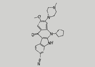 COc1cc2c(=O)c3c4ccc(C#N)cc4[nH]c3n(C3CCCC3)c2cc1N1CCN(C)CC1